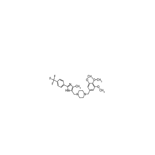 COc1cc(CN2CCN(Cc3[nH]c(-c4ccc(C(F)(F)F)cc4)nc3C)CC2)cc(OC)c1OC